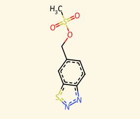 CS(=O)(=O)OCc1ccc2nnsc2c1